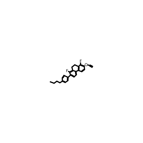 C#COc1ccc2c(c1F)CCc1c-2ccc(-c2ccc(CCCC)cc2)c1F